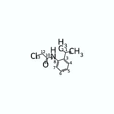 CC(C)c1cc[c]cc1NC(=O)CCl